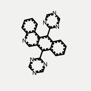 c1ccc2c(c1)ncc1c(-c3ncncn3)c3ccccc3c(-c3ncncn3)c12